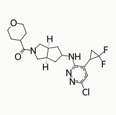 O=C(C1CCOCC1)N1C[C@H]2CC(Nc3nnc(Cl)cc3C3CC3(F)F)C[C@H]2C1